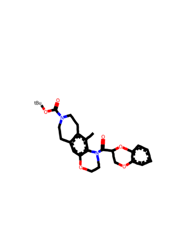 Cc1c2c(cc3c1N(C(=O)C1COc4ccccc4O1)CCO3)CCN(C(=O)OC(C)(C)C)CC2